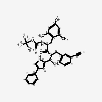 Cc1cc(O)cc(C)c1C[C@H](NC(=O)OC(C)(C)C)C(=O)N(Cc1cccc(C#N)c1)[C@@H](C)c1nc(-c2ccccc2)c[nH]1